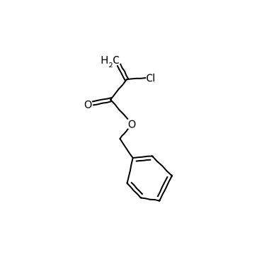 C=C(Cl)C(=O)OCc1ccccc1